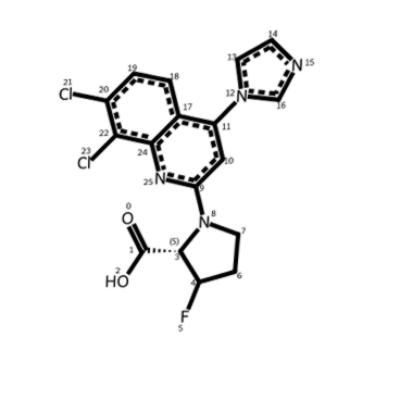 O=C(O)[C@H]1C(F)CCN1c1cc(-n2ccnc2)c2ccc(Cl)c(Cl)c2n1